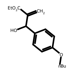 C=C(C(=O)OCC)C(O)c1ccc(OCCCC)cc1